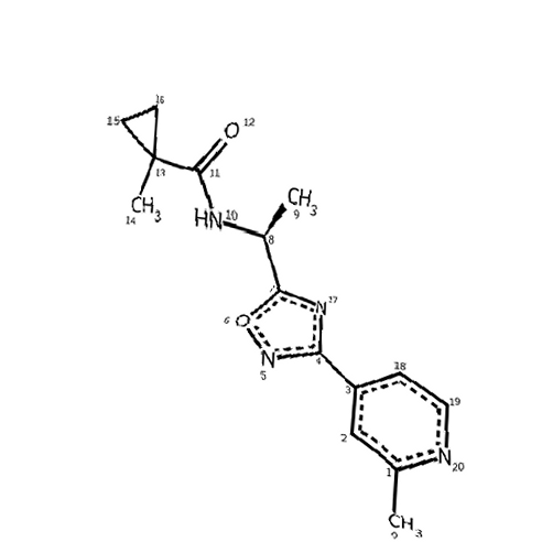 Cc1cc(-c2noc([C@H](C)NC(=O)C3(C)CC3)n2)ccn1